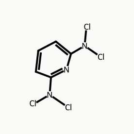 ClN(Cl)c1cccc(N(Cl)Cl)n1